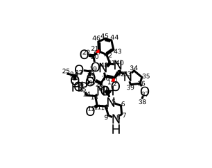 CCOC(=O)N1CCNCC1C(=O)C(C[PH](=O)OC(OC(C)=O)OC(C)=O)NC(=O)c1cc(N2CCC(OC)C2)nc(-c2ccccc2)n1